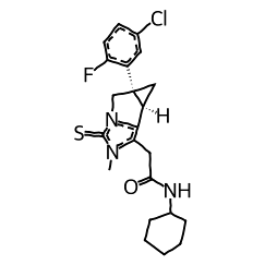 Cn1c(CC(=O)NC2CCCCC2)c2n(c1=S)C[C@@]1(c3cc(Cl)ccc3F)C[C@@H]21